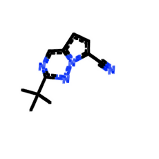 CC(C)(C)c1ncc2ccc(C#N)n2n1